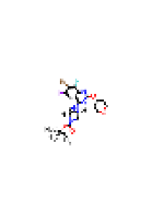 CC(C)(C)OC(=O)N1C[C@@H]2C[C@H]1CN2c1nc(OC2CCOCC2)nc2c(F)c(Br)c(I)cc12